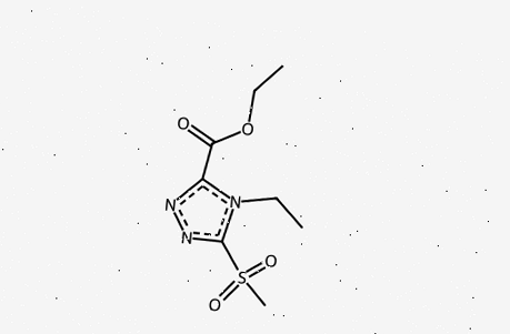 CCOC(=O)c1nnc(S(C)(=O)=O)n1CC